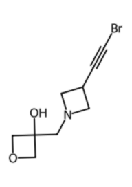 OC1(CN2CC(C#CBr)C2)COC1